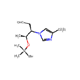 CCOC(=O)c1cn([C@H](CC=O)[C@H](C)O[Si](C)(C)C(C)(C)C)cn1